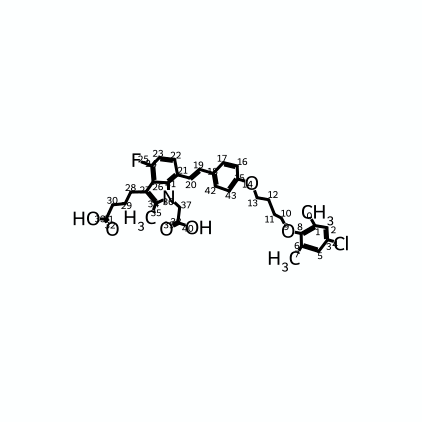 Cc1cc(Cl)cc(C)c1OCCCCOc1ccc(/C=C/c2ccc(F)c3c(CCCC(=O)O)c(C)n(CC(=O)O)c23)cc1